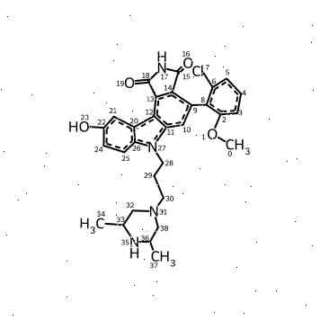 COc1cccc(Cl)c1-c1cc2c(c3c1C(=O)NC3=O)c1cc(O)ccc1n2CCCN1CC(C)NC(C)C1